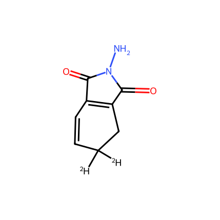 [2H]C1([2H])C=CC2=C(C1)C(=O)N(N)C2=O